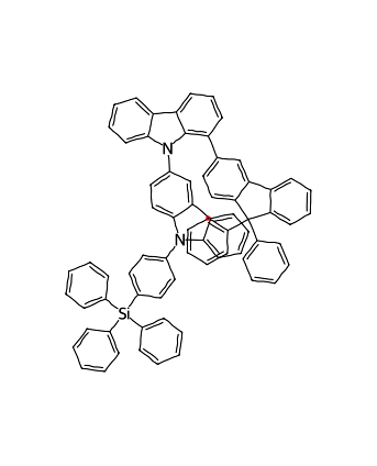 c1ccc(C2(c3ccccc3)c3ccccc3-c3cc(-c4cccc5c6ccccc6n(-c6ccc7c(c6)c6ccccc6n7-c6ccc([Si](c7ccccc7)(c7ccccc7)c7ccccc7)cc6)c45)ccc32)cc1